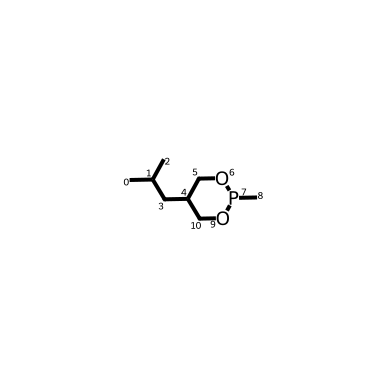 CC(C)CC1COP(C)OC1